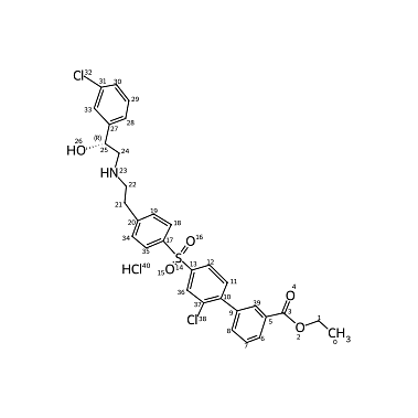 CCOC(=O)c1cccc(-c2ccc(S(=O)(=O)c3ccc(CCNC[C@H](O)c4cccc(Cl)c4)cc3)cc2Cl)c1.Cl